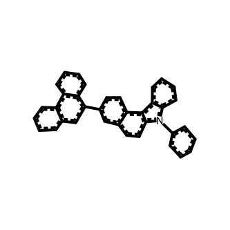 c1ccc(-n2c3ccccc3c3c4ccc(-c5cc6ccccc6c6ccccc56)cc4ccc32)cc1